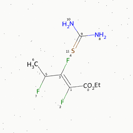 CCOC(=O)C(F)=C(F)C(C)F.NC(N)=S